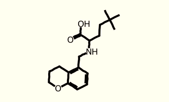 CC(C)(C)CCC(NCc1cccc2c1CCCO2)C(=O)O